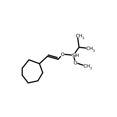 CO[SiH](OC=CC1CCCCCC1)C(C)C